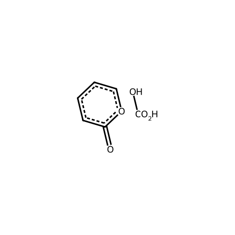 O=C(O)O.O=c1cccco1